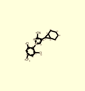 N#Cc1nn(-c2c(Cl)cc(C(F)(F)F)cc2Cl)cc1C1C2CCCCC21